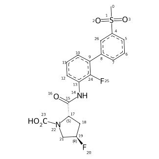 CS(=O)(=O)c1cccc(-c2cccc(NC(=O)[C@@H]3C[C@@H](F)CN3C(=O)O)c2F)c1